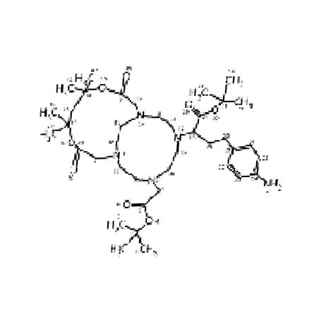 CC(C)(C)OC(=O)CN1CCN2CCN(CCN(C(CCc3ccc(N)cc3)C(=O)OC(C)(C)C)CC1)CC(=O)OC(C)(C)CC(C)(C)OC(=O)C2